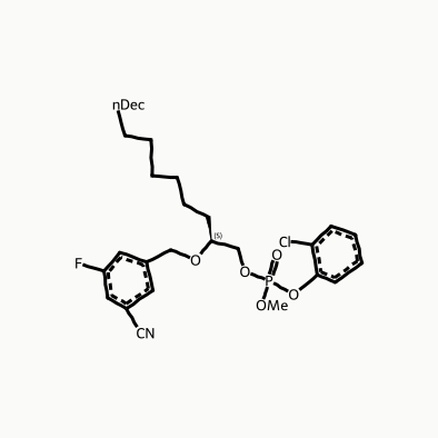 CCCCCCCCCCCCCCCC[C@@H](COP(=O)(OC)Oc1ccccc1Cl)OCc1cc(F)cc(C#N)c1